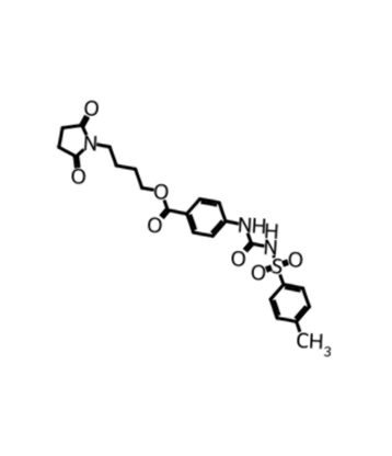 Cc1ccc(S(=O)(=O)NC(=O)Nc2ccc(C(=O)OCCCCN3C(=O)CCC3=O)cc2)cc1